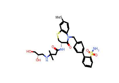 CSc1ccc2c(c1)SC[C@@H](NC(=O)CC(C)(C)NC[C@H](O)CO)C(=O)N2Cc1ccc(-c2ccccc2S(N)(=O)=O)cc1